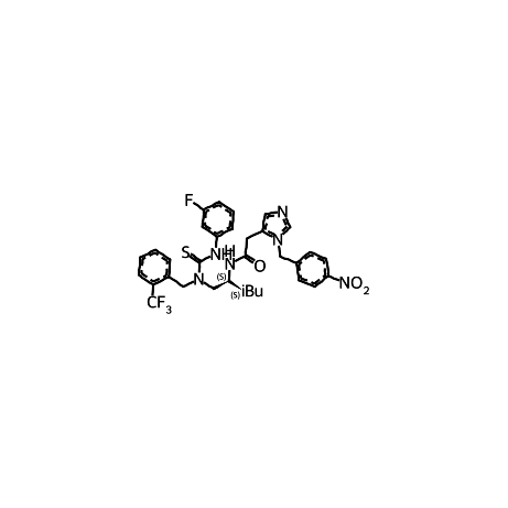 CC[C@H](C)[C@@H](CN(Cc1ccccc1C(F)(F)F)C(=S)Nc1cccc(F)c1)NC(=O)Cc1cncn1Cc1ccc([N+](=O)[O-])cc1